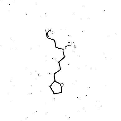 C=CCC[S+](C)CCCCC1CCCO1